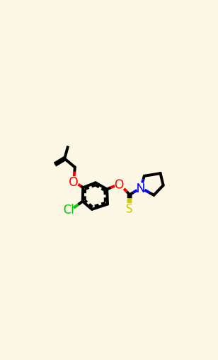 C=C(C)COc1cc(OC(=S)N2CCCC2)ccc1Cl